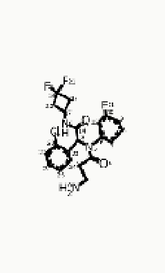 NCCC(=O)N(c1cccc(F)c1)C(C(=O)NC1CC(F)(F)C1)c1ccccc1Cl